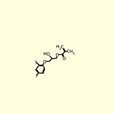 C=C(C)C(=O)OCC(O)COc1ccc(I)cc1I